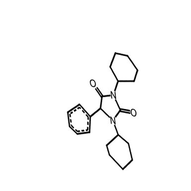 O=C1C(c2ccccc2)N(C2CCCCC2)C(=O)N1C1CCCCC1